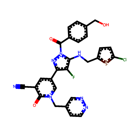 N#Cc1cc(-c2nn(C(=O)c3ccc(CO)cc3)c(NCc3ccc(Cl)s3)c2F)cn(Cc2ccnnc2)c1=O